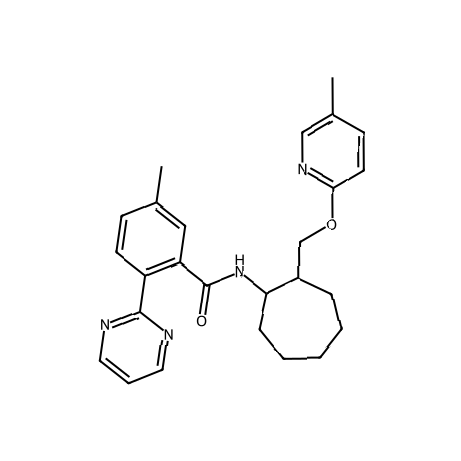 Cc1ccc(OCC2CCCCCC2NC(=O)c2cc(C)ccc2-c2ncccn2)nc1